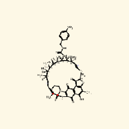 CO[C@H]1/C=C/O[C@@]2(C)Oc3c(C)c(O)c4c(c3C2=O)C(=O)C(N2CCOCC2)=C(NC(=O)/C(C)=C\C=C\[C@H](C)[C@H](O)[C@@H](C)[C@@H](O)[C@@H](C)[C@H](OC(=O)NCc2ccc([N+](=O)[O-])cc2)[C@@H]1C)C4=O